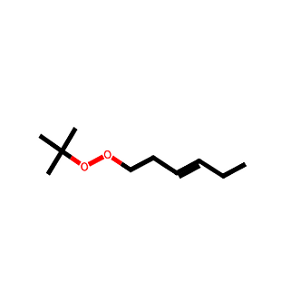 CCC=CCCOOC(C)(C)C